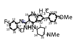 CN[C@H]1CC[C@H](Nc2c(/C(N)=N/c3cc(F)ccc3Cl)cnn3cc(-c4ccc(OC)cc4C)cc23)CC1